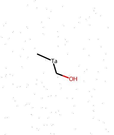 [CH3][Ta][CH2]O